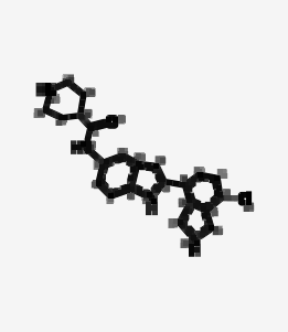 O=C(Nc1ccc2[nH]c(-c3ccc(Cl)c4c[nH]cc34)cc2c1)C1CCNCC1